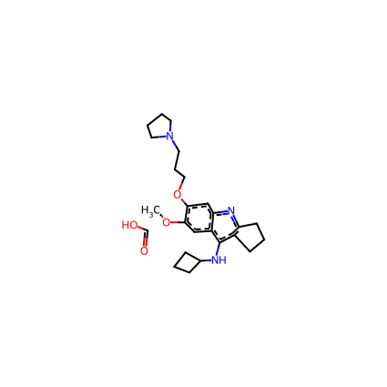 COc1cc2c(NC3CCC3)c3c(nc2cc1OCCCN1CCCC1)CCC3.O=CO